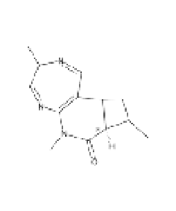 CC1C=NC2=C(C=N1)C1CC(C)[C@H]1C(=O)N2C